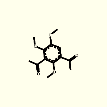 COc1cc(C(C)=O)c(OC)c(C(C)=O)c1OC